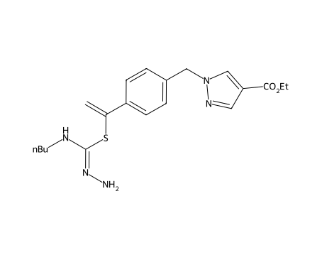 C=C(S/C(=N\N)NCCCC)c1ccc(Cn2cc(C(=O)OCC)cn2)cc1